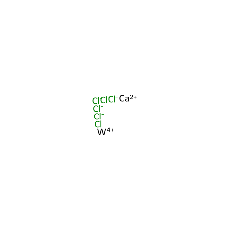 [Ca+2].[Cl-].[Cl-].[Cl-].[Cl-].[Cl-].[Cl-].[W+4]